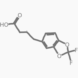 O=C(O)C[CH]Cc1ccc2c(c1)OC(F)(F)O2